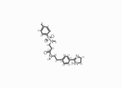 Cc1ccc(S(=O)(=O)N(C)CCC(=O)N(C)CCc2ccc(C3=NCCN3)cc2)cc1